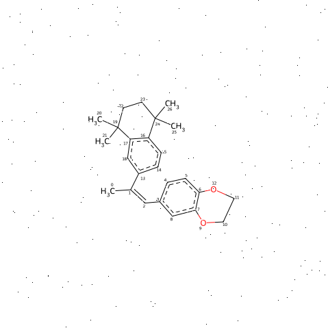 CC(=Cc1ccc2c(c1)OCCO2)c1ccc2c(c1)C(C)(C)CCC2(C)C